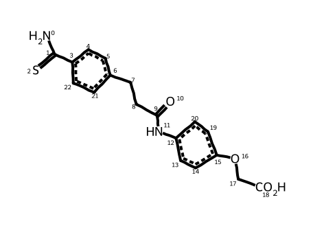 NC(=S)c1ccc(CCC(=O)Nc2ccc(OCC(=O)O)cc2)cc1